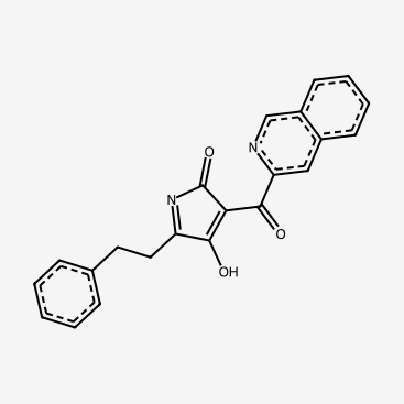 O=C1N=C(CCc2ccccc2)C(O)=C1C(=O)c1cc2ccccc2cn1